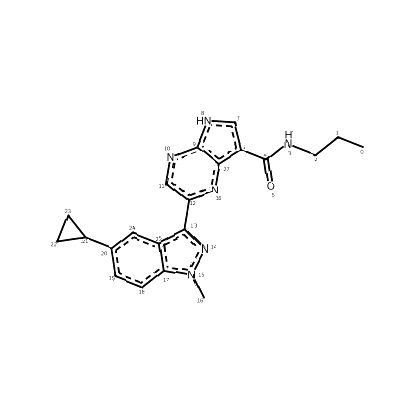 CCCNC(=O)c1c[nH]c2ncc(-c3nn(C)c4ccc(C5CC5)cc34)nc12